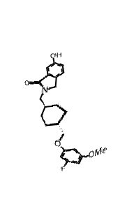 COc1cc(F)cc(OC[C@H]2CC[C@H](CN3Cc4ccc(O)cc4C3=O)CC2)c1